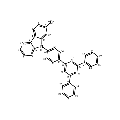 Brc1ccc2c3ncccc3n(-c3ccc(-c4cc(-c5ccccc5)cc(-c5ccccc5)n4)cc3)c2c1